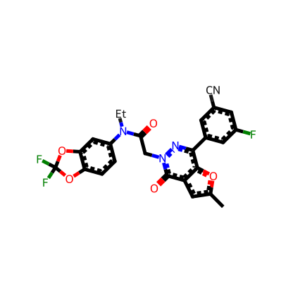 CCN(C(=O)Cn1nc(-c2cc(F)cc(C#N)c2)c2oc(C)cc2c1=O)c1ccc2c(c1)OC(F)(F)O2